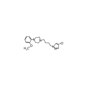 COc1ccccc1N1CCN(CCCCn2cc(Cl)cn2)CC1